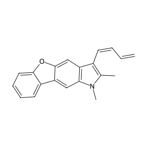 C=C/C=C\c1c(C)n(C)c2cc3c(cc12)oc1ccccc13